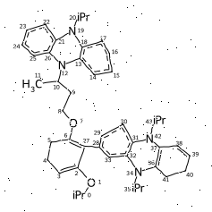 CC(C)OC1=CCCC(OCCC(C)N2c3ccccc3N(C(C)C)c3ccccc32)=C1c1ccc2c(c1)N(C(C)C)C1=C(C=CCC1)N2C(C)C